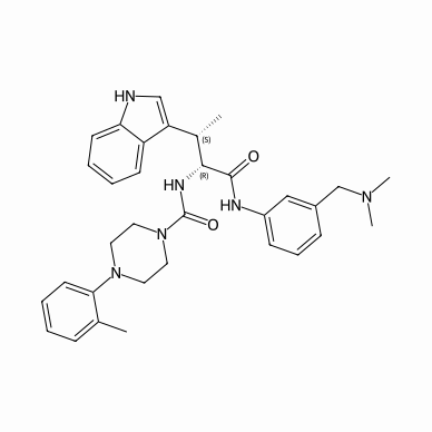 Cc1ccccc1N1CCN(C(=O)N[C@@H](C(=O)Nc2cccc(CN(C)C)c2)[C@@H](C)c2c[nH]c3ccccc23)CC1